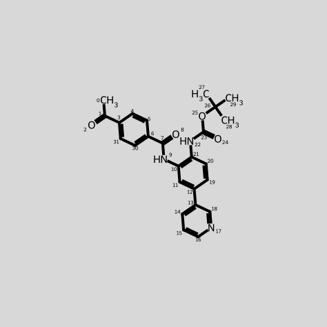 CC(=O)c1ccc(C(=O)Nc2cc(-c3cccnc3)ccc2NC(=O)OC(C)(C)C)cc1